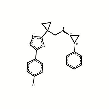 Clc1ccc(-c2nnc(C3(CN[C@H]4C[C@@H]4c4ccccc4)CC3)o2)cc1